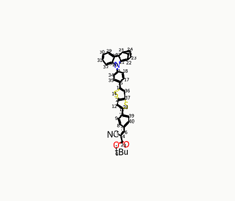 CC(C)(C)OC(=O)/C(C#N)=C/c1ccc(-c2cc3sc(-c4ccc(N5C6=C7CCC(C7)C6c6ccccc65)cc4)cc3s2)cc1